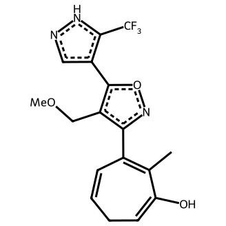 COCc1c(C2=C(C)C(O)=CCC=C2)noc1-c1cn[nH]c1C(F)(F)F